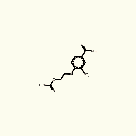 NC(=O)OCCNc1ccc(C(N)=O)cc1[N+](=O)[O-]